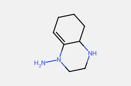 NN1CCNC2CCCC=C21